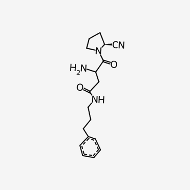 N#C[C@@H]1CCCN1C(=O)C(N)CC(=O)NCCCc1ccccc1